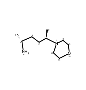 C[C@H](CC[C@@H](C)N)N1CCOCC1